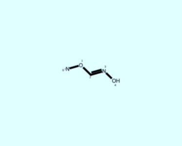 [N]OC=NO